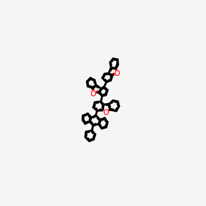 c1ccc(-c2c3ccccc3c(-c3ccc(-c4ccc(-c5ccc6c(c5)oc5ccccc56)c5c4oc4ccccc45)c4c3oc3ccccc34)c3ccccc23)cc1